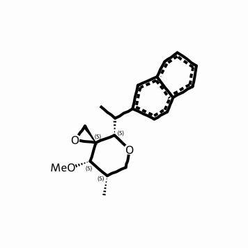 CO[C@H]1[C@@H](C)CO[C@@H](C(C)c2ccc3ccccc3c2)[C@]12CO2